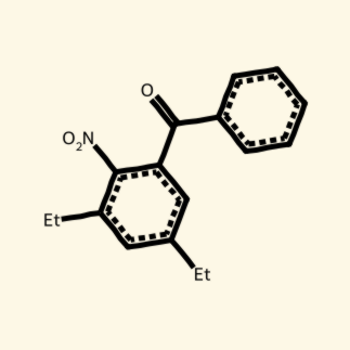 CCc1cc(CC)c([N+](=O)[O-])c(C(=O)c2ccccc2)c1